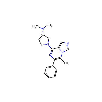 Cc1c(-c2ccccc2)nc(N2CC[C@H](N(C)C)C2)c2cncn12